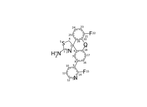 NC1=NC2(CS1)c1cc(-c3cccnc3F)ccc1Oc1c(F)cccc12